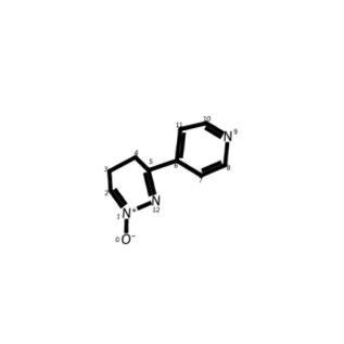 [O-][N+]1=CCCC(c2ccncc2)=N1